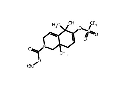 CC(C)(C)OC(=O)N1CC=C2C(C)(CC=C(OS(=O)(=O)C(F)(F)F)C2(C)C)C1